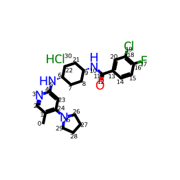 Cc1cnc(N[C@H]2CC[C@@H](NC(=O)c3ccc(F)c(Cl)c3)CC2)cc1N1CCCC1.Cl